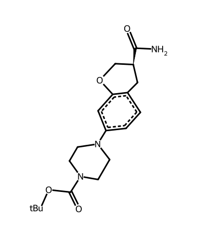 CC(C)(C)OC(=O)N1CCN(c2ccc3c(c2)OC[C@@H](C(N)=O)C3)CC1